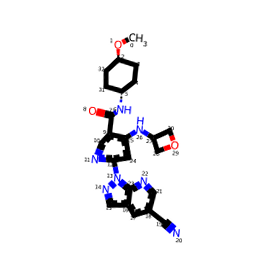 CO[C@H]1CC[C@H](NC(=O)c2cnc(-n3ncc4cc(C#N)cnc43)cc2NC2COC2)CC1